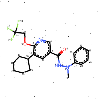 CN(NC(=O)c1cnc(OCC(F)(F)F)c(C2CCCCC2)c1)c1ccccc1